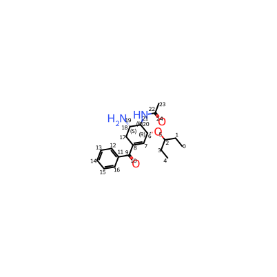 CCC(CC)O[C@@H]1C=C(C(=O)c2ccccc2)C[C@H](N)[C@H]1NC(C)=O